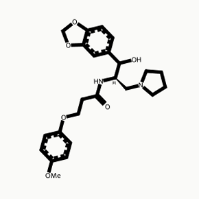 COc1ccc(OCCC(=O)N[C@H](CN2CCCC2)C(O)c2ccc3c(c2)OCO3)cc1